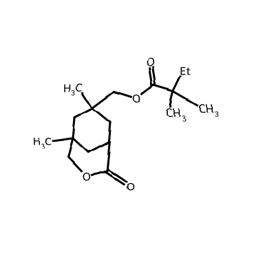 CCC(C)(C)C(=O)OCC1(C)CC2CC(C)(COC2=O)C1